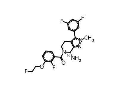 Cn1nc2c(c1-c1cc(F)cc(F)c1)CCN(C(=O)c1cccc(OCCF)c1F)[C@H]2N